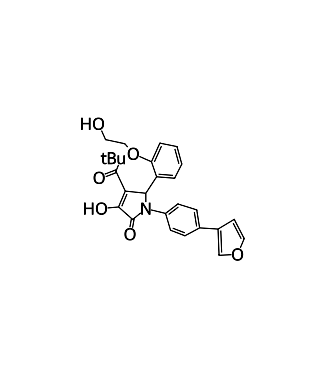 CC(C)(C)C(=O)C1=C(O)C(=O)N(c2ccc(-c3ccoc3)cc2)C1c1ccccc1OCCO